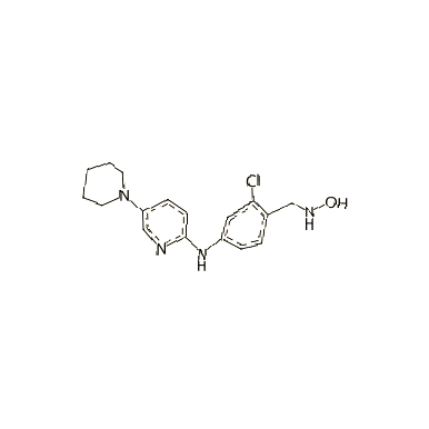 ONCc1ccc(Nc2ccc(N3CCCCC3)cn2)cc1Cl